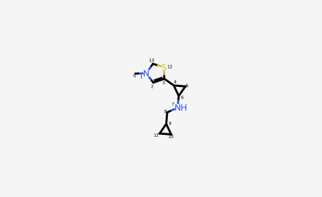 CN1C=C(C2CC2NCC2CC2)SC1